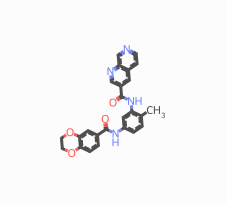 Cc1ccc(NC(=O)c2ccc3c(c2)OCCO3)cc1NC(=O)c1cnc2cnccc2c1